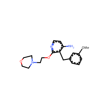 COc1cccc(Cc2c(N)ccnc2OCCN2CCOCC2)c1